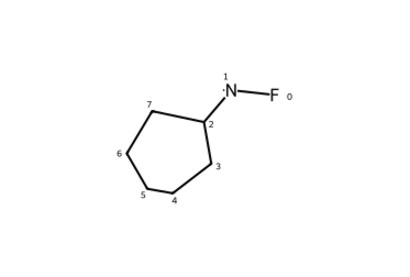 F[N]C1CCCCC1